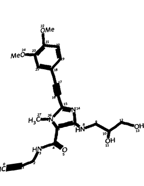 C#CCNC(=O)c1c(NCC(O)CO)nc(C#Cc2ccc(OC)c(OC)c2)n1C